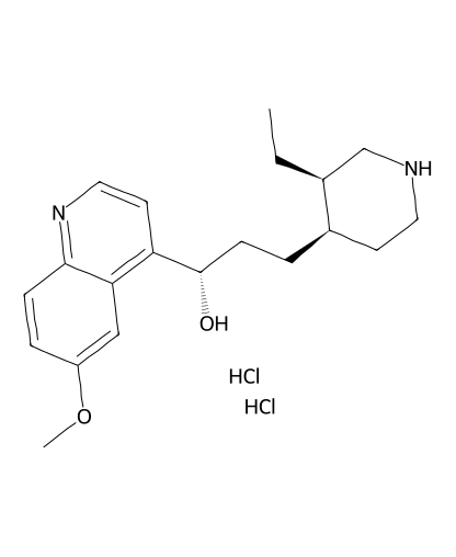 CC[C@H]1CNCC[C@H]1CC[C@H](O)c1ccnc2ccc(OC)cc12.Cl.Cl